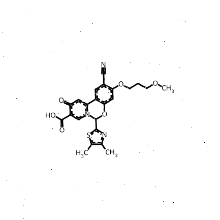 COCCCOc1cc2c(cc1C#N)-c1cc(=O)c(C(=O)O)cn1C(c1nc(C)c(C)s1)O2